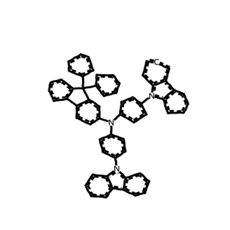 c1ccc(C2(c3ccccc3)c3ccccc3-c3ccc(N(c4ccc(-n5c6ccccc6c6ccccc65)cc4)c4ccc(-n5c6ccccc6c6ccccc65)cc4)cc32)cc1